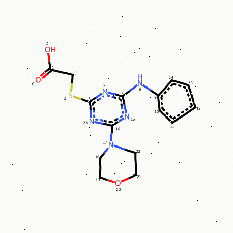 O=C(O)CSc1nc(Nc2ccccc2)nc(N2CCOCC2)n1